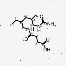 CCC(CNC(=O)CCC(=O)O)CC(C)CNC(N)=O